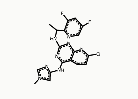 CC(Nc1nc(Nc2cn(C)cn2)c2ccc(Cl)nc2n1)c1ncc(F)cc1F